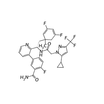 CC1(C[C@H](NC(=O)Cn2nc(C(F)(F)F)cc2C2CC2)c2ncccc2-c2ccc(F)c(C(N)=O)c2)C=C(F)C=C(F)C1